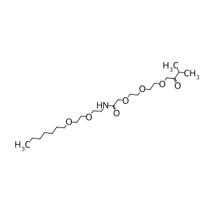 CCCCCCCOCCOCCNC(=O)COCCOCCOCC(=O)C(C)C